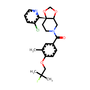 Cc1cc(C(=O)N2CC[C@]3(c4ncccc4Cl)OCOC3C2)ccc1OCC(C)(C)F